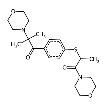 CC(Sc1ccc(C(=O)C(C)(C)N2CCOCC2)cc1)C(=O)N1CCOCC1